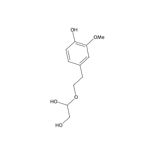 COc1cc(CCOC(O)CO)ccc1O